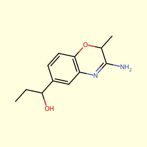 CCC(O)c1ccc2c(c1)N=C(N)C(C)O2